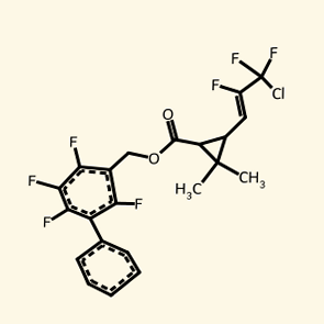 CC1(C)C(C=C(F)C(F)(F)Cl)C1C(=O)OCc1c(F)c(F)c(F)c(-c2ccccc2)c1F